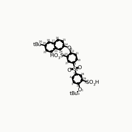 CC(C)(C)Oc1ccc(S(=O)(=O)c2ccc(Oc3ccc4cc(C(C)(C)C)ccc4c3)c(S(=O)(=O)O)c2)cc1S(=O)(=O)O